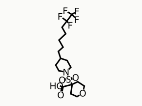 O=C(O)C1(S(=O)(=O)N2CCC(CCCCCC(F)(F)C(F)(F)F)CC2)CCOCC1